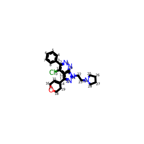 Clc1c(-c2ccccc2)nnc2c1c(C1=CCOCC1)nn2CCN1CCCC1